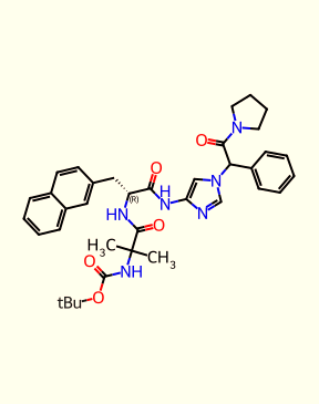 CC(C)(C)OC(=O)NC(C)(C)C(=O)N[C@H](Cc1ccc2ccccc2c1)C(=O)Nc1cn(C(C(=O)N2CCCC2)c2ccccc2)cn1